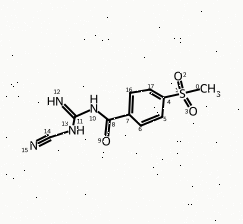 CS(=O)(=O)c1ccc(C(=O)NC(=N)NC#N)cc1